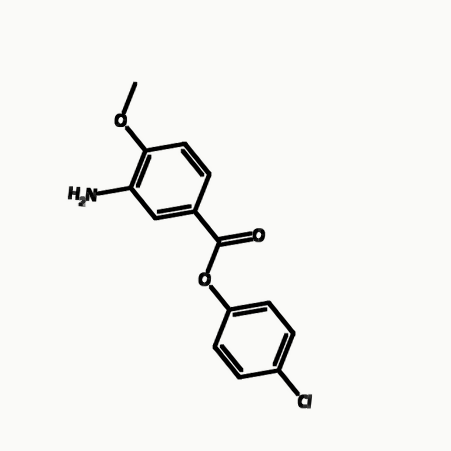 COc1ccc(C(=O)Oc2ccc(Cl)cc2)cc1N